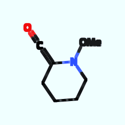 CON1CCCCC1=C=O